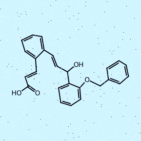 O=C(O)/C=C/c1ccccc1/C=C/C(O)c1ccccc1OCc1ccccc1